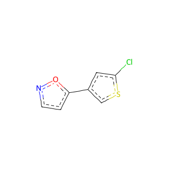 Clc1cc(-c2ccno2)cs1